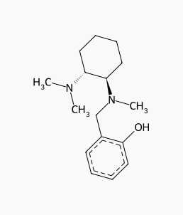 CN(C)[C@@H]1CCCC[C@H]1N(C)Cc1ccccc1O